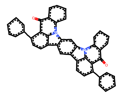 O=c1c2ccccc2n2c3cc4c(cc3c3ccc(-c5ccccc5)c1c32)c1ccc(-c2ccccc2)c2c(=O)c3ccccc3n4c21